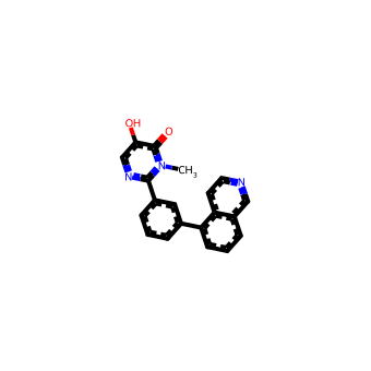 Cn1c(-c2cccc(-c3cccc4cnccc34)c2)ncc(O)c1=O